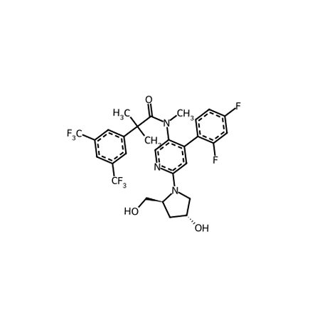 CN(C(=O)C(C)(C)c1cc(C(F)(F)F)cc(C(F)(F)F)c1)c1cnc(N2C[C@H](O)C[C@H]2CO)cc1-c1ccc(F)cc1F